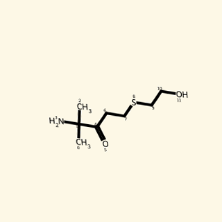 CC(C)(N)C(=O)CCSCCO